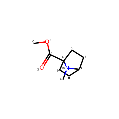 COC(=O)C12CCC(CC1)N2C